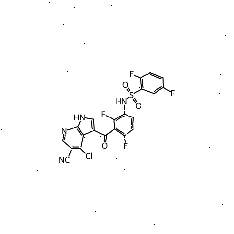 N#Cc1cnc2[nH]cc(C(=O)c3c(F)ccc(NS(=O)(=O)c4cc(F)ccc4F)c3F)c2c1Cl